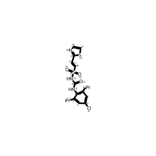 CC(C)c1cc(Cl)cc(C(C)C)c1NC(=O)NS(=O)(=O)/C=C/c1nccs1